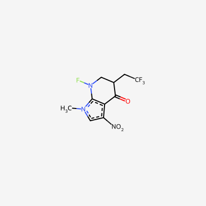 Cn1cc([N+](=O)[O-])c2c1N(F)CC(CC(F)(F)F)C2=O